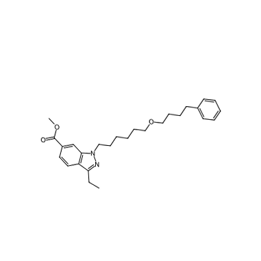 CCc1nn(CCCCCCOCCCCc2ccccc2)c2cc(C(=O)OC)ccc12